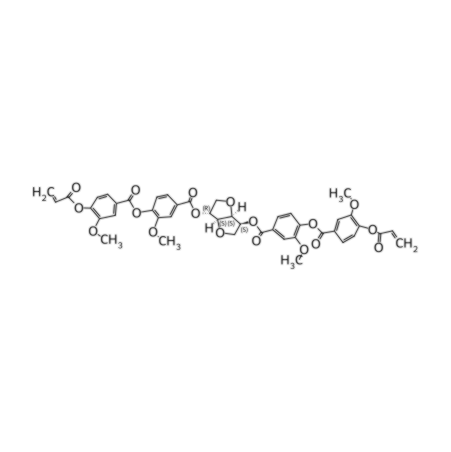 C=CC(=O)Oc1ccc(C(=O)Oc2ccc(C(=O)O[C@H]3CO[C@@H]4[C@H]3OC[C@H]4OC(=O)c3ccc(OC(=O)c4ccc(OC(=O)C=C)c(OC)c4)c(OC)c3)cc2OC)cc1OC